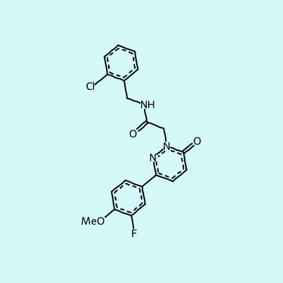 COc1ccc(-c2ccc(=O)n(CC(=O)NCc3ccccc3Cl)n2)cc1F